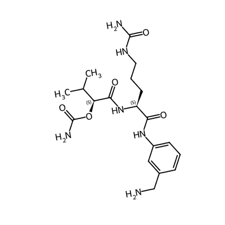 CC(C)[C@H](OC(N)=O)C(=O)N[C@@H](CCCNC(N)=O)C(=O)Nc1cccc(CN)c1